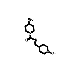 CC(C)N1CCC(CNC(=O)N2CCC(C(C)(C)C)CC2)CC1